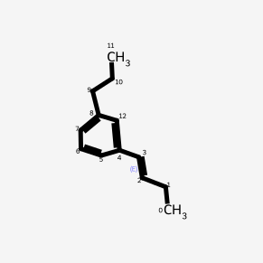 CC/C=C/c1cccc(CCC)c1